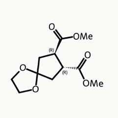 COC(=O)[C@@H]1CC2(C[C@H]1C(=O)OC)OCCO2